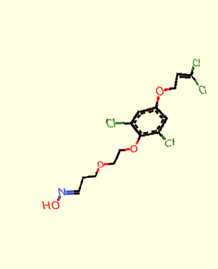 ON=CCCOCCOc1c(Cl)cc(OCC=C(Cl)Cl)cc1Cl